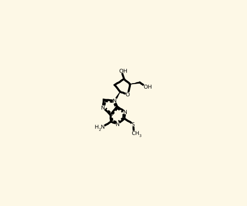 CSc1nc(N)c2ncn([C@H]3CC(O)[C@@H](CO)O3)c2n1